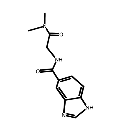 CN(C)C(=O)CNC(=O)c1ccc2[nH]cnc2c1